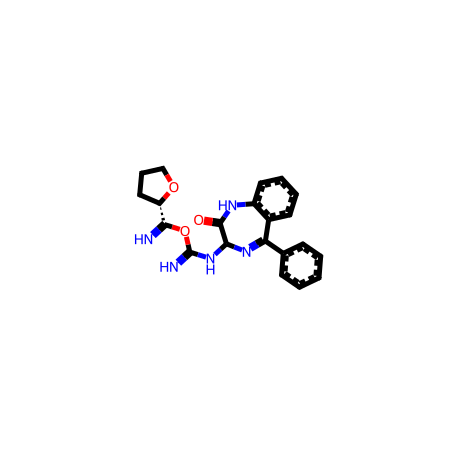 N=C(NC1N=C(c2ccccc2)c2ccccc2NC1=O)OC(=N)[C@@H]1CCCO1